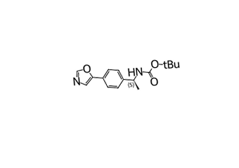 C[C@H](NC(=O)OC(C)(C)C)c1ccc(-c2cnco2)cc1